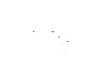 C=CCCC[C@@H]1C[C@@]1(C)OC(=O)N[C@H](C(=O)O)C1CCCC1